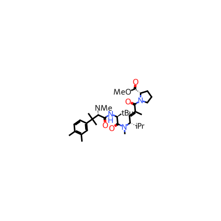 CN[C@H](C(=O)N[C@H](C(=O)N(C)[C@H](/C=C(\C)C(=O)N1CCC[C@H]1C(=O)OC)C(C)C)C(C)(C)C)C(C)(C)c1ccc(C)c(C)c1